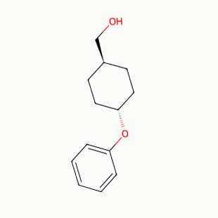 OC[C@H]1CC[C@H](Oc2ccccc2)CC1